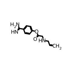 C=CCNCC(=O)Oc1ccc(C(=N)N)cc1